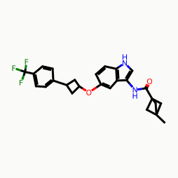 CC12CC(C(=O)Nc3c[nH]c4ccc(OC5CC(c6ccc(C(F)(F)F)cc6)C5)cc34)(C1)C2